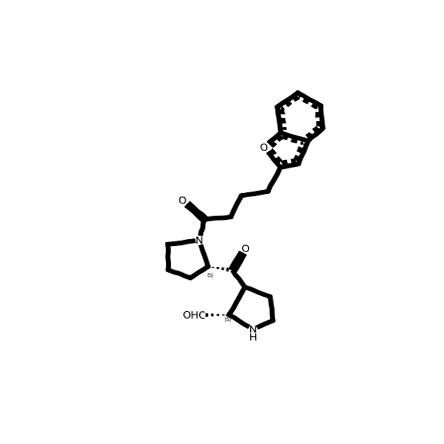 O=C[C@H]1NCCC1C(=O)[C@@H]1CCCN1C(=O)CCCc1cc2ccccc2o1